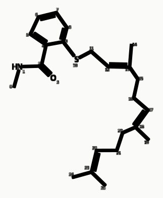 CNC(=O)c1ccccc1SC/C=C(\C)CCC=C(C)CCC=C(C)C